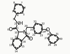 O=C(NCc1ccccc1)C1c2ccccc2C(=O)N1Cc1ccc(Oc2ccccc2)cc1